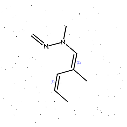 C=NN(C)/C=C(C)\C=C/C